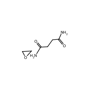 C1CO1.NC(=O)CCC(N)=O